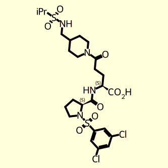 CC(C)S(=O)(=O)NCC1CCN(C(=O)CC[C@H](NC(=O)[C@@H]2CCCN2S(=O)(=O)c2cc(Cl)cc(Cl)c2)C(=O)O)CC1